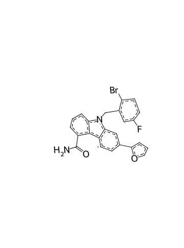 NC(=O)c1cccc2c1c1[c]cc(-c3ccco3)cc1n2Cc1cc(F)ccc1Br